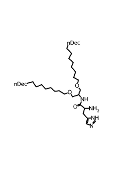 CCCCCCCCCCCCCCCCCCOCC(COCCCCCCCCCCCCCCCCCC)NC(=O)C(N)Cc1cnc[nH]1